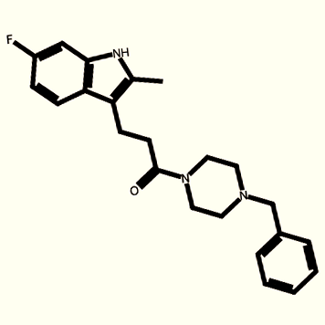 Cc1[nH]c2cc(F)ccc2c1CCC(=O)N1CCN(Cc2ccccc2)CC1